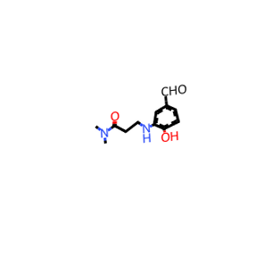 CN(C)C(=O)CCNc1cc(C=O)ccc1O